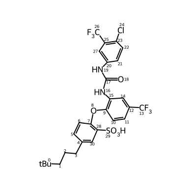 CC(C)(C)CCCc1ccc(Oc2ccc(C(F)(F)F)cc2NC(=O)Nc2ccc(Cl)c(C(F)(F)F)c2)c(S(=O)(=O)O)c1